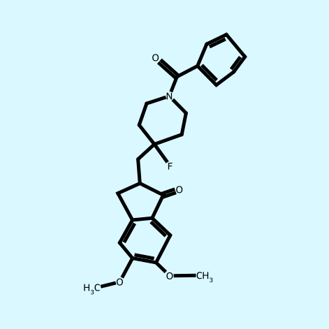 COc1cc2c(cc1OC)C(=O)C(CC1(F)CCN(C(=O)c3ccccc3)CC1)C2